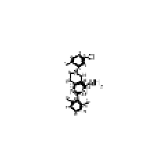 Cc1ccc(Cl)cc1N1CCc2nc(-c3c(C)cccc3C)nc(N)c2C1